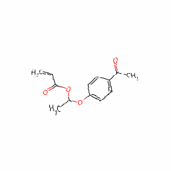 C=CC(=O)OC(C)Oc1ccc(C(C)=O)cc1